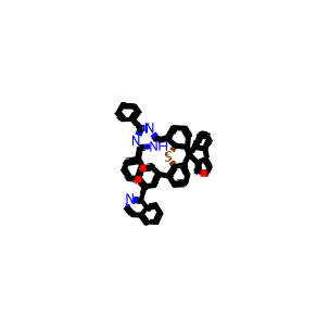 C1=CC2C(Sc3c(-c4cccc(-c5nccc6ccccc56)c4)cccc3C23c2ccccc2-c2ccccc23)C(C2=NC(c3ccccc3)=NC(c3ccccc3)N2)=C1